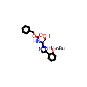 CCCCOc1ccccc1-c1cnc([C@H](CO)NC(=O)OCc2ccccc2)[nH]1